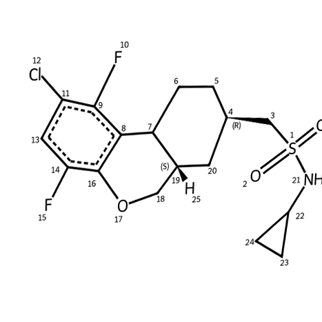 O=S(=O)(C[C@@H]1CCC2c3c(F)c(Cl)cc(F)c3OC[C@H]2C1)NC1CC1